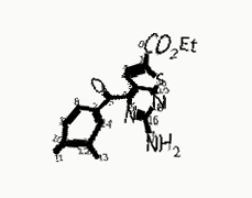 CCOC(=O)c1cc2c(C(=O)c3ccc(C)c(C)c3)nc(N)nc2s1